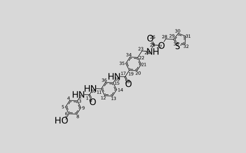 O=C(Nc1ccc(O)cc1)Nc1cccc(NC(=O)c2ccc(CNC(=O)OCc3cccs3)cc2)c1